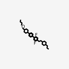 CCCCOCC1CCC(c2ccc(-c3cc(F)c(CCC4CCC(CCC)CC4)cc3F)cc2)CC1